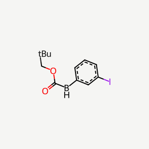 CC(C)(C)COC(=O)Bc1cccc(I)c1